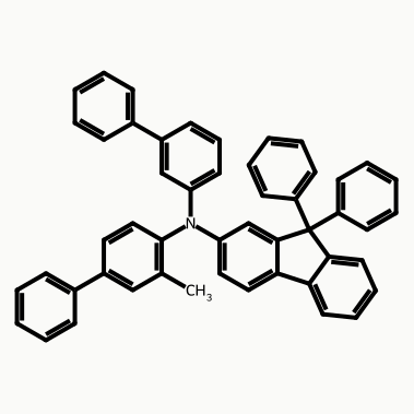 Cc1cc(-c2ccccc2)ccc1N(c1cccc(-c2ccccc2)c1)c1ccc2c(c1)C(c1ccccc1)(c1ccccc1)c1ccccc1-2